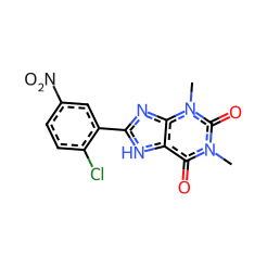 Cn1c(=O)c2[nH]c(-c3cc([N+](=O)[O-])ccc3Cl)nc2n(C)c1=O